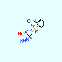 [N-]=[N+]=N[C@H]1CN(S(=O)(=O)c2ccccc2[N+](=O)[O-])C[C@@H]1O